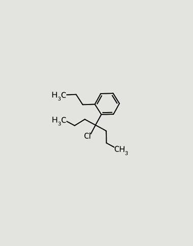 CCCc1ccccc1C(Cl)(CCC)CCC